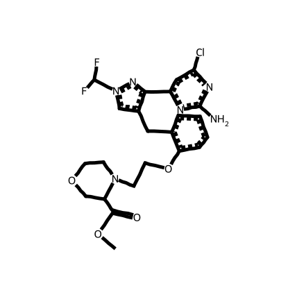 COC(=O)C1COCCN1CCOc1ccccc1Cc1cn(C(F)F)nc1-c1cc(Cl)nc(N)n1